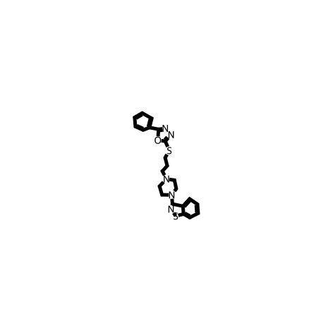 c1ccc(-c2nnc(SCCCN3CCN(c4nsc5ccccc45)CC3)o2)cc1